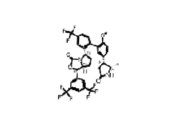 COc1ccc([C@H]2CC(=O)N[C@H]2C)cc1-c1ccc(C(F)(F)F)cc1[C@@H]1CC[C@H]2[C@@H](c3cc(C(F)(F)F)cc(C(F)(F)F)c3)OC(=O)N12